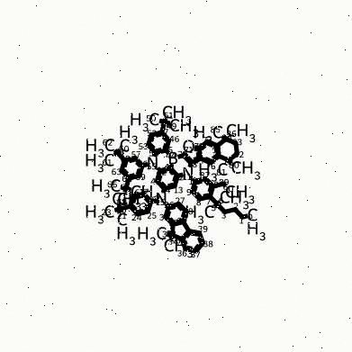 CCCCC(C)(C)c1ccc(N2c3cc(N(c4ccc(C(C)(C)C)cc4)c4ccc5c(c4)C(C)(C)c4ccccc4-5)cc4c3B(c3cc(C(C)(C)C)ccc3N4c3cc(C(C)(C)C)cc(C(C)(C)C)c3)c3oc4cc5c(cc4c32)C(C)(C)CCC5(C)C)cc1CC